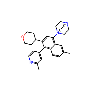 Cc1ccc2c(-c3ccnc(C)c3)c(C3CCOCC3)cc([N+]34CCN(CC3)CC4)c2c1